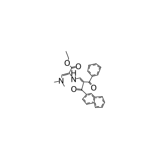 CCOC(=O)/C(=C/N(C)C)N/C=C(/C(=O)c1ccccc1)C(=O)c1ccc2ccccc2c1